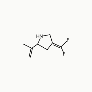 C=C(C)C1CC(=C(F)F)CN1